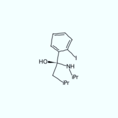 CC(C)C[C@@](O)(NC(C)C)c1ccccc1I